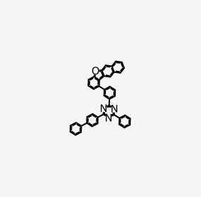 c1ccc(-c2ccc(-c3nc(-c4ccccc4)nc(-c4cccc(-c5cccc6oc7cc8ccccc8cc7c56)c4)n3)cc2)cc1